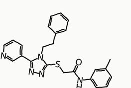 Cc1cccc(NC(=O)CSc2nnc(-c3cccnc3)n2CCc2ccccc2)c1